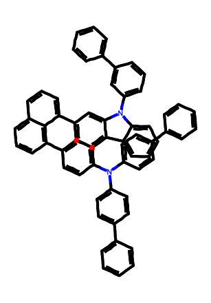 c1ccc(-c2ccc(N(c3ccc(-c4ccccc4)cc3)c3ccc(-c4cccc5cccc(-c6ccc7c8ccccc8n(-c8cccc(-c9ccccc9)c8)c7c6)c45)cc3)cc2)cc1